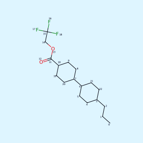 CCCC1CCC(C2CCC(C(=O)OCC(F)(F)F)CC2)CC1